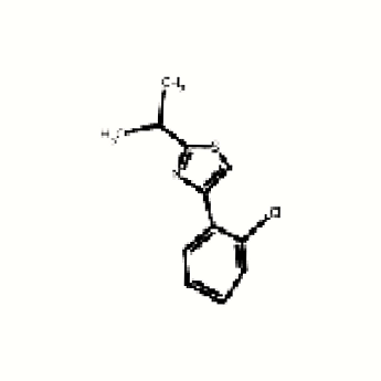 CC(C)c1nc(-c2ccccc2Cl)cs1